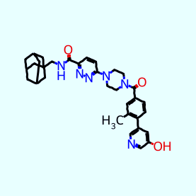 Cc1cc(C(=O)N2CCN(c3ccc(C(=O)NCC45CC6CC(CC(C6)C4)C5)nn3)CC2)ccc1-c1cncc(O)c1